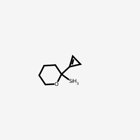 [SiH3]C1(C2=CC2)CCCCO1